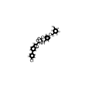 COC(=O)[C@H](Cc1ccc(OCc2cccc(C)c2)cc1)NC(=O)c1cc2ccc(-c3ccc(Cl)cc3)cc2o1